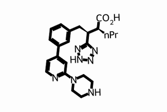 CCC[C@H](C(=O)O)[C@H](Cc1cccc(-c2ccnc(N3CCNCC3)c2)c1)c1nn[nH]n1